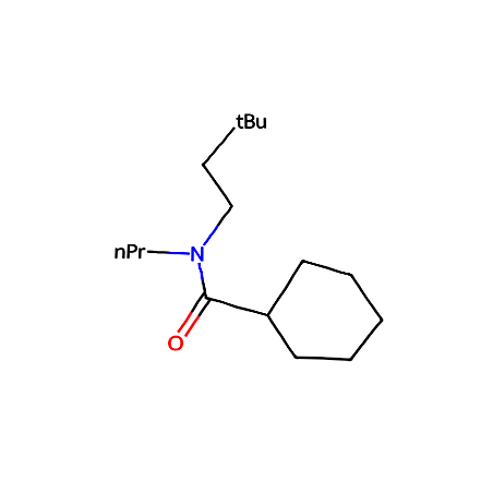 CCCN(CCC(C)(C)C)C(=O)C1CCCCC1